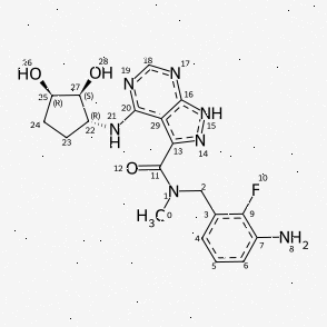 CN(Cc1cccc(N)c1F)C(=O)c1n[nH]c2ncnc(N[C@@H]3CC[C@@H](O)[C@H]3O)c12